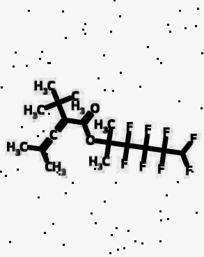 CC(C)=C=C(C(=O)OC(C)(C)C(F)(F)C(F)(F)C(F)(F)C(F)F)C(C)(C)C